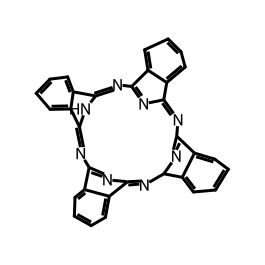 c1ccc2c(c1)C1=NC/2=N\C2=NC(/N=C3N=C(/N=c4\[nH]/c(c5ccccc45)=N\1)c1ccccc1\3)c1ccccc12